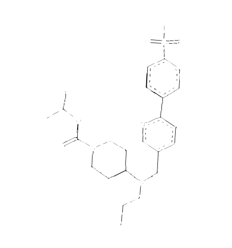 CCCN(Cc1ccc(-c2ccc(S(C)(=O)=O)cc2)nc1)C1CCN(C(=O)OC(C)C)CC1